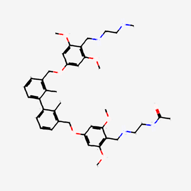 CNCCNCc1c(OC)cc(OCc2cccc(-c3cccc(COc4cc(OC)c(CNCCNC(C)=O)c(OC)c4)c3C)c2C)cc1OC